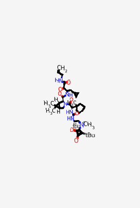 C=CCNC(=O)C(=O)C(CC1CC1)NC(=O)[C@@H]1[C@@H]2[C@H](CN1C(=O)[C@@H](NC(=O)N[C@H](CN(C)c1c(C(C)(C)C)c(=O)c1=O)C(C)(C)C)C1(C)CCCCC1)C2(C)C